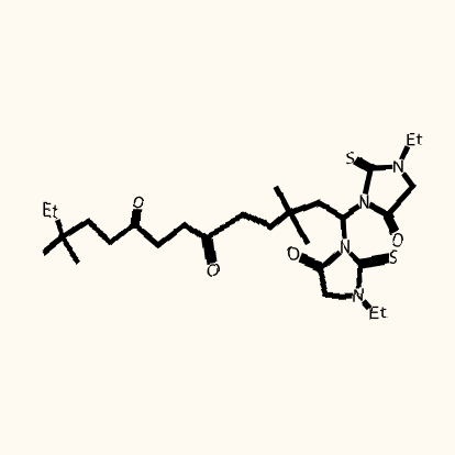 CCN1CC(=O)N(C(CC(C)(C)CCC(=O)CCC(=O)CCC(C)(C)CC)N2C(=O)CN(CC)C2=S)C1=S